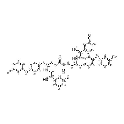 O=C(OC[C@H](Cc1ccc(Oc2cccc(F)n2)cc1)NC[C@@H](O)c1cccc(Cl)c1)C(=O)OC[C@H](Cc1ccc(Oc2cccc(F)n2)cc1)NC[C@@H](O)c1cccc(Cl)c1